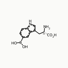 N[C@@H](Cc1c[nH]c2ccc(B(O)O)cc12)C(=O)O